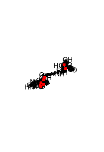 CC(C)(C)OC(=O)N1CCC[C@H]1C(=O)NP(=O)(OCCCCCCNC(=S)Nc1ccc(-c2c3ccc(=O)cc-3oc3cc(O)ccc23)c(C(=O)O)c1)OC[C@H]1O[C@@H](n2cnc3c(=O)[nH]cnc32)[C@@H]2OC(C)(C)O[C@@H]21